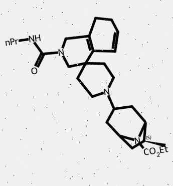 CCCNC(=O)N1CC2=C(C=CCC2)C2(CCN(C3CC4C[C@H](C)C(C3)N4C(=O)OCC)CC2)C1